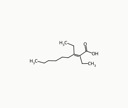 CCCCCC/C(CC)=C(\CC)C(=O)O